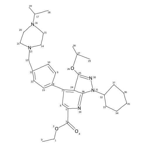 CCOC(=O)c1cc(-c2ccc(CN3CCN(C(C)C)CC3)cc2)c2c(OC(C)C)nn(C3CCCCC3)c2n1